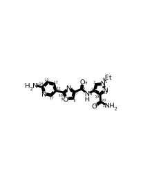 CCn1cc(NC(=O)c2coc(-c3ccc(N)nc3)n2)c(C(N)=O)n1